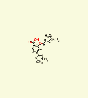 CCC(CC)c1ccc(C(=O)O)c(OCCCC(C)C)c1